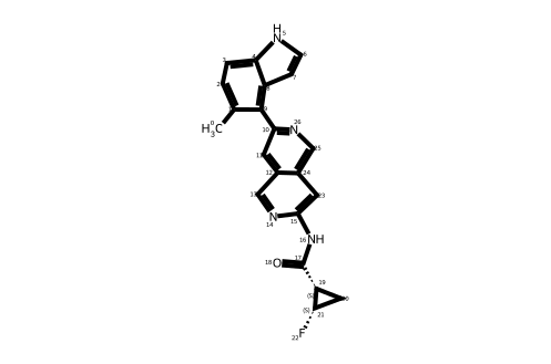 Cc1ccc2[nH]ccc2c1-c1cc2cnc(NC(=O)[C@@H]3C[C@@H]3F)cc2cn1